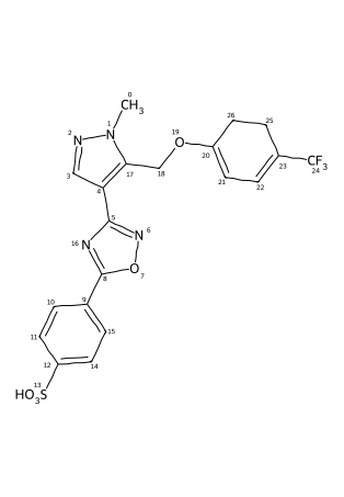 Cn1ncc(-c2noc(-c3ccc(S(=O)(=O)O)cc3)n2)c1COC1=CC=C(C(F)(F)F)CC1